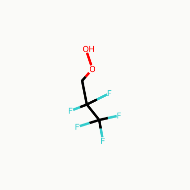 OOCC(F)(F)C(F)(F)F